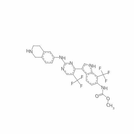 COC(=O)Nc1ccc2c(-c3nc(Nc4ccc5c(c4)CCNC5)ncc3C(F)(F)F)c[nH]c2c1C(F)(F)F